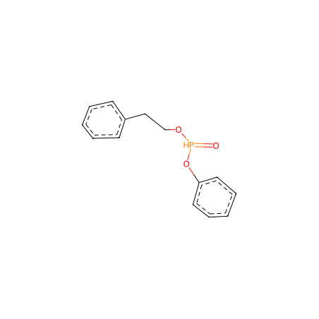 O=[PH](OCCc1ccccc1)Oc1ccccc1